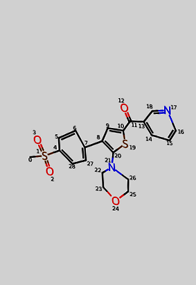 CS(=O)(=O)c1ccc(-c2cc(C(=O)c3cccnc3)sc2N2CCOCC2)cc1